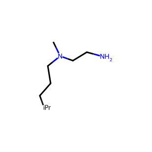 CC(C)CCCN(C)CCN